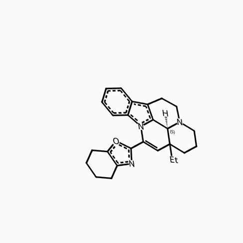 CCC12C=C(c3nc4c(o3)CCCC4)n3c4c(c5ccccc53)CCN(CCC1)[C@H]42